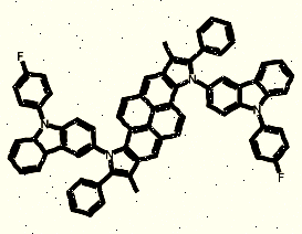 Cc1c(-c2ccccc2)n(-c2ccc3c(c2)C2C=CC=CC2N3c2ccc(F)cc2)c2c1cc1ccc3c4c(ccc2c14)cc1c(C)c(-c2ccccc2)n(-c2ccc4c(c2)c2ccccc2n4-c2ccc(F)cc2)c13